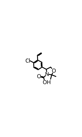 C=Cc1cc(C2COC(C)(C)N2C(=O)O)ccc1Cl